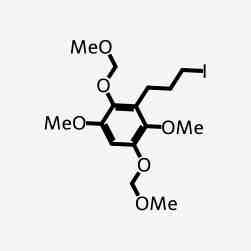 COCOc1cc(OC)c(OCOC)c(CCCI)c1OC